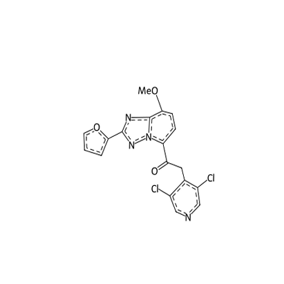 COc1ccc(C(=O)Cc2c(Cl)cncc2Cl)n2nc(-c3ccco3)nc12